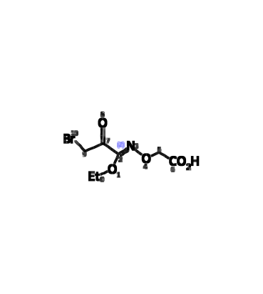 CCO/C(=N\OCC(=O)O)C(=O)CBr